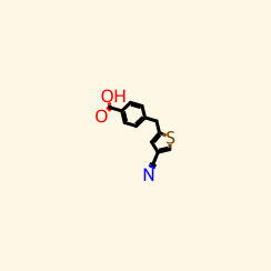 N#Cc1csc(Cc2ccc(C(=O)O)cc2)c1